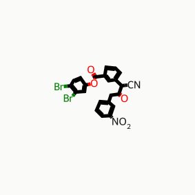 N#CC(C(=O)Cc1cccc([N+](=O)[O-])c1)c1cccc(C(=O)Oc2ccc(Br)c(Br)c2)c1